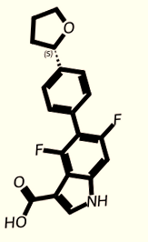 O=C(O)c1c[nH]c2cc(F)c(-c3ccc([C@@H]4CCCO4)cc3)c(F)c12